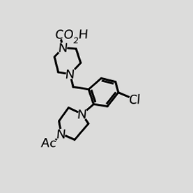 CC(=O)N1CCN(c2cc(Cl)ccc2CN2CCN(C(=O)O)CC2)CC1